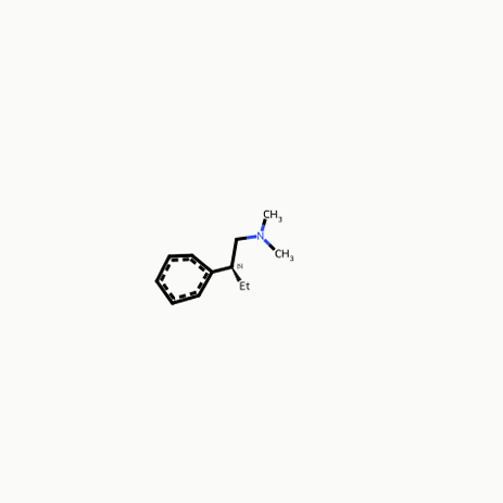 CC[C@H](CN(C)C)c1ccccc1